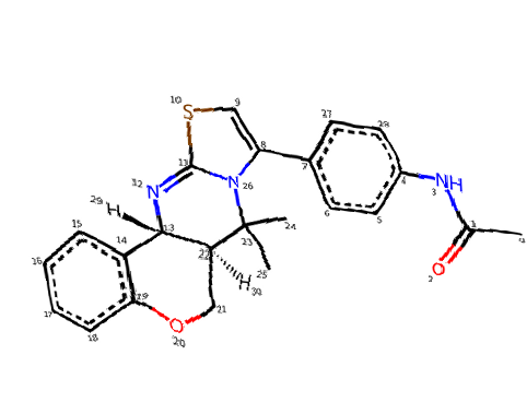 CC(=O)Nc1ccc(C2=CSC3=N[C@H]4c5ccccc5OC[C@@H]4C(C)(C)N23)cc1